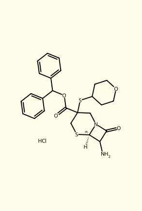 Cl.NC1C(=O)N2CC(SC3CCOCC3)(C(=O)OC(c3ccccc3)c3ccccc3)CS[C@H]12